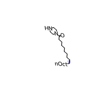 CCCCCCCC/C=C\CCCCCCCC(=O)N1CCNCC1